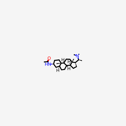 CC(=O)N[C@H]1CC[C@@]2(C)[C@@H](CC[C@@H]3[C@@H]2CC[C@]2(C)[C@@H]([C@H](C)N(C)C)CC[C@@H]32)C1